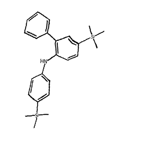 C[Si](C)(C)c1ccc(Nc2ccc([Si](C)(C)C)cc2-c2ccccc2)cc1